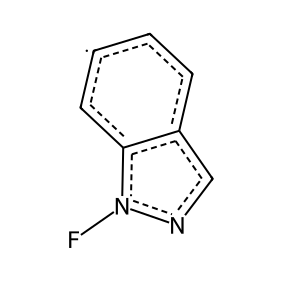 Fn1ncc2cc[c]cc21